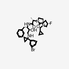 C[C@@H](C(=O)N[C@@H](Cc1ccccc1)[C@H](O)CNC1(c2cccc(Br)c2)CC1)N1CC[C@]2(C[C@H](F)CN2CC2CC2)C1=O